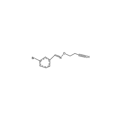 C#CCCON=[C]c1cccc(Br)c1